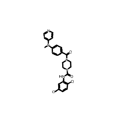 CN(c1ccncc1)c1ccc(C(=O)N2CCN(C(=O)Nc3cc(Cl)ccc3Cl)CC2)cc1